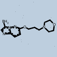 Bc1cnc2ccc(OCCCN3CCOCC3)nn12